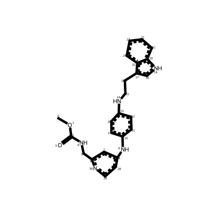 COC(=O)NCc1cc(Nc2ccc(NCCc3c[nH]c4ccccc34)cc2)ccn1